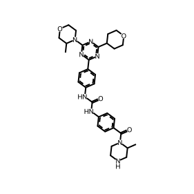 CC1CNCCN1C(=O)c1ccc(NC(=O)Nc2ccc(-c3nc(C4CCOCC4)nc(N4CCOCC4C)n3)cc2)cc1